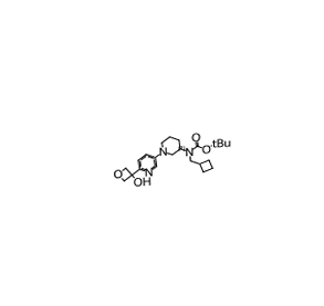 CC(C)(C)OC(=O)N(CC1CCC1)[C@@H]1CCCN(c2ccc(C3(O)COC3)nc2)C1